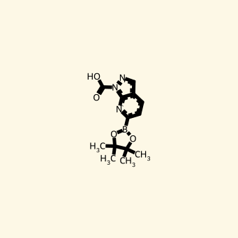 CC1(C)OB(c2ccc3cnn(C(=O)O)c3n2)OC1(C)C